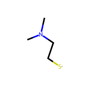 CN(C)CC[S]